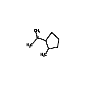 CC1CCCC1N(C)C